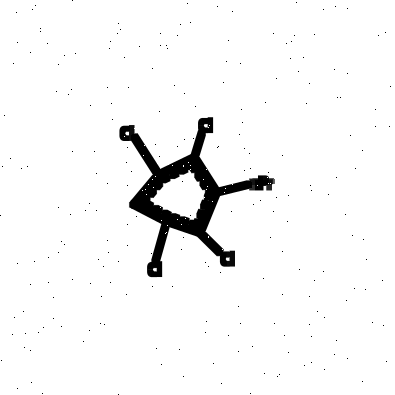 CCCc1c(Cl)c(Cl)cc(Cl)c1Cl